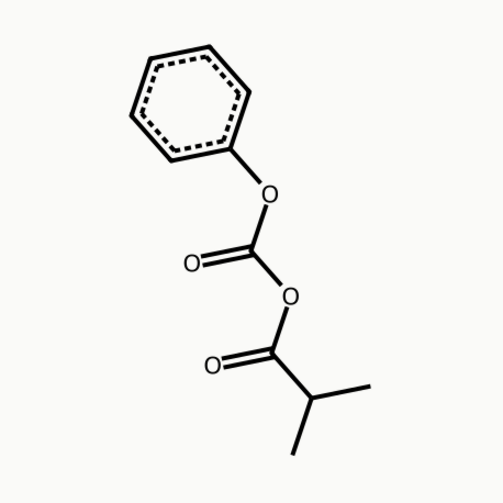 CC(C)C(=O)OC(=O)Oc1ccccc1